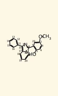 COc1ccc(O)c(-c2nc(-c3ccccc3)c3ccccn23)c1